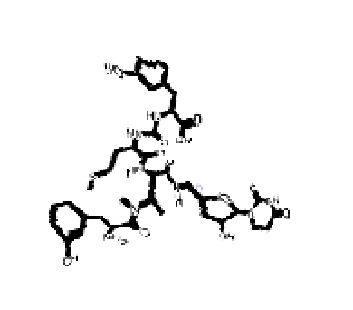 CSCCC(NC(=O)NC(Cc1cccc(O)c1)C(=O)O)C(=O)NC(C(=O)N/C=C1\CC(O)C(N2CCC(=O)NC2=O)O1)C(C)N(C)C(=O)C(N)Cc1cccc(O)c1